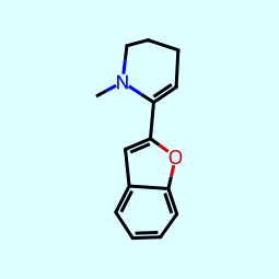 CN1CCCC=C1c1cc2ccccc2o1